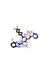 C[C@H](NC(=O)[C@H](CC(=O)N1CCCC[C@@H]1C)NC(=O)C1CC2(C1)CC(F)(F)C2)c1nc2c(F)cccc2[nH]1